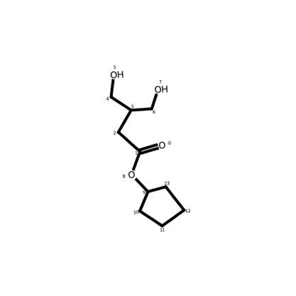 O=C(CC(CO)CO)OC1CCCC1